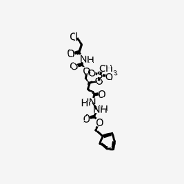 CS(=O)(=O)O[C@H](COC(=O)NC(=O)CCl)CC(=O)NNC(=O)OCc1ccccc1